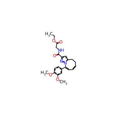 CCOC(=O)CNC(=O)c1cc2n(n1)/C(c1ccc(OC)c(OC)c1)=C\C=C/CC2